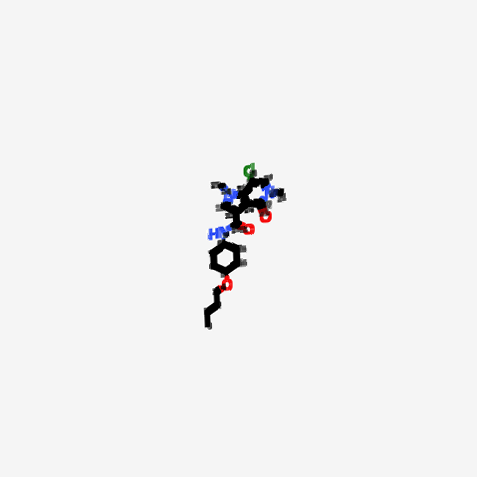 CCCCO[C@H]1CC[C@H](NC(=O)c2cn(C)c3c(Cl)cn(C)c(=O)c23)CC1